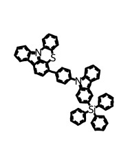 c1ccc([Si](c2ccccc2)(c2ccccc2)c2ccc3c(c2)c2ccccc2n3-c2ccc(-c3ccc4c5ccccc5n5c4c3Sc3ccccc3-5)cc2)cc1